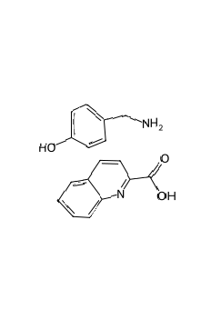 NCc1ccc(O)cc1.O=C(O)c1ccc2ccccc2n1